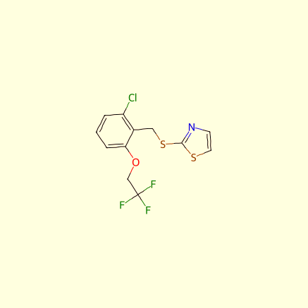 FC(F)(F)COc1cccc(Cl)c1CSc1nccs1